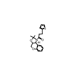 CC1(C)OC2COc3ccccc3[C@@H]2N1C(=O)CCc1cccs1